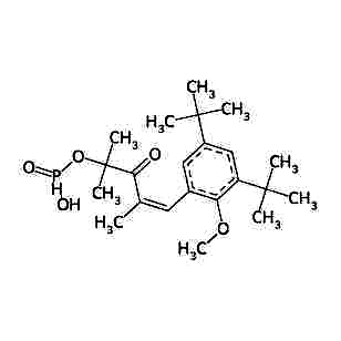 COc1c(C=C(C)C(=O)C(C)(C)O[PH](=O)O)cc(C(C)(C)C)cc1C(C)(C)C